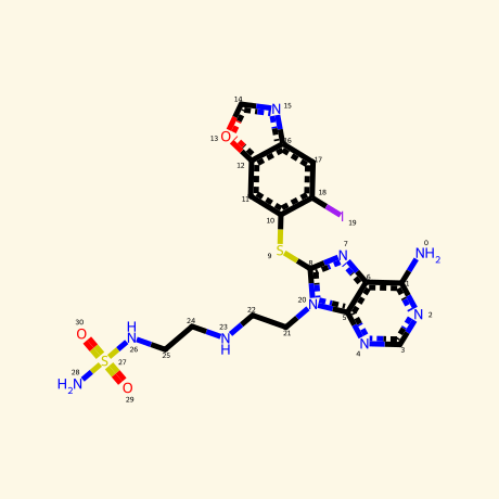 Nc1ncnc2c1nc(Sc1cc3ocnc3cc1I)n2CCNCCNS(N)(=O)=O